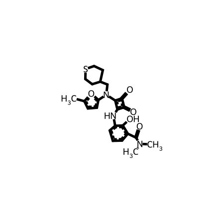 Cc1ccc(N(CC2CCSCC2)c2c(Nc3cccc(C(=O)N(C)C)c3O)c(=O)c2=O)o1